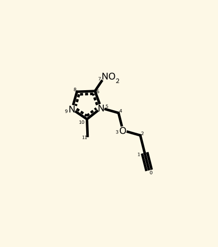 C#CCOCn1c([N+](=O)[O-])cnc1C